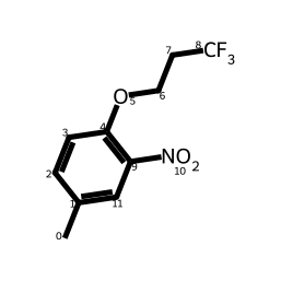 Cc1ccc(OCCC(F)(F)F)c([N+](=O)[O-])c1